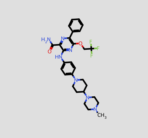 CN1CCN(C2CCN(c3ccc(Nc4nc(OCC(F)(F)F)c(-c5ccccc5)nc4C(N)=O)cc3)CC2)CC1